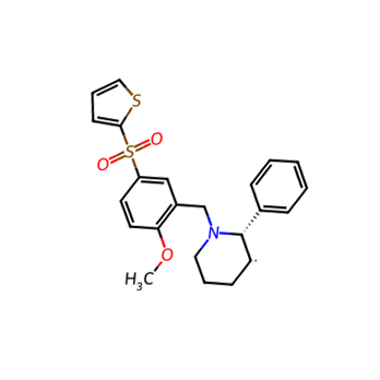 COc1ccc(S(=O)(=O)c2cccs2)cc1CN1CCC[CH][C@H]1c1ccccc1